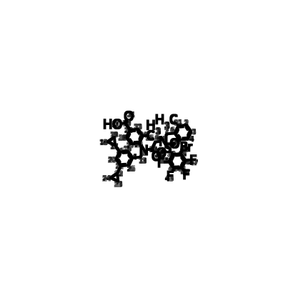 Cc1ccccc1CN(CC(=O)N(Cc1cc(C2CC2)cc(C2CC2)c1)c1ccc(C(=O)O)cc1C)S(=O)(=O)c1c(F)c(F)c(F)c(F)c1Br